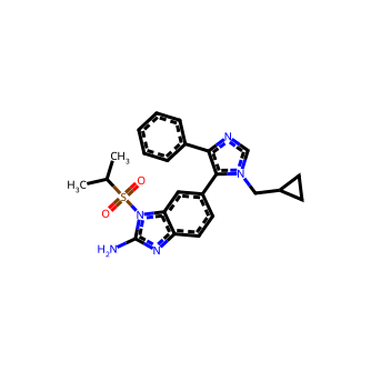 CC(C)S(=O)(=O)n1c(N)nc2ccc(-c3c(-c4ccccc4)ncn3CC3CC3)cc21